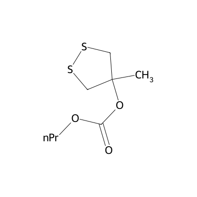 CCCOC(=O)OC1(C)CSSC1